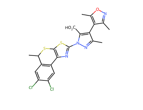 Cc1noc(C)c1-c1c(C)nn(-c2nc3c(s2)SC(C)c2cc(Cl)c(Cl)cc2-3)c1C(=O)O